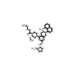 Cc1cccc2cccc(N3CCc4c(nc(OC[C@@H]5CCCN5C)nc4N4CCN(C(=O)CCCO)[C@@H](CC#N)C4)C3)c12